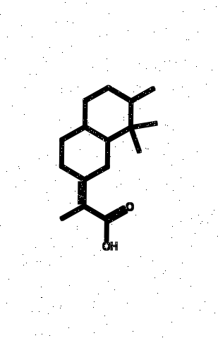 CC(C(=O)O)=C1CCC2CCC(C)C(C)(C)C2C1